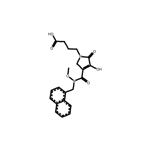 CON(Cc1cccc2ccccc12)C(=O)C1=C(O)C(=O)N(CCCC(=O)O)C1